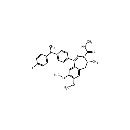 CNC(=O)N1N=C(c2ccc(N(C)c3ccc(F)cc3)cc2)c2cc(OC)c(OC)cc2CC1C